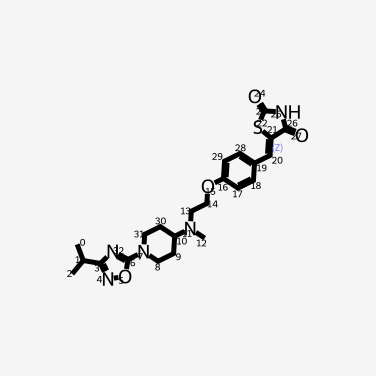 CC(C)c1noc(N2CCC(N(C)CCOc3ccc(/C=C4\SC(=O)NC4=O)cc3)CC2)n1